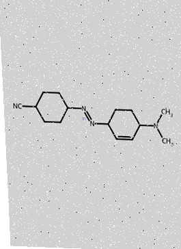 CN(C)C1C=CC(/N=N/C2CCC(C#N)CC2)CC1